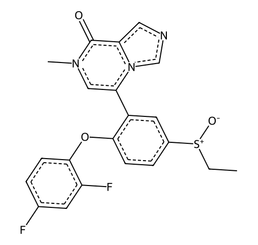 CC[S+]([O-])c1ccc(Oc2ccc(F)cc2F)c(-c2cn(C)c(=O)c3cncn23)c1